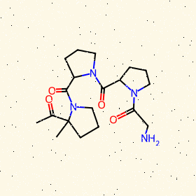 CC(=O)C1(C)CCCN1C(=O)C1CCCN1C(=O)C1CCCN1C(=O)CN